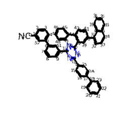 N#Cc1cccc(-c2cccc(-c3nc(-c4ccc(-c5ccccc5)cc4)nc(-c4cc(-c5cccc6ccccc56)ccc4-c4ccccc4)n3)c2)c1